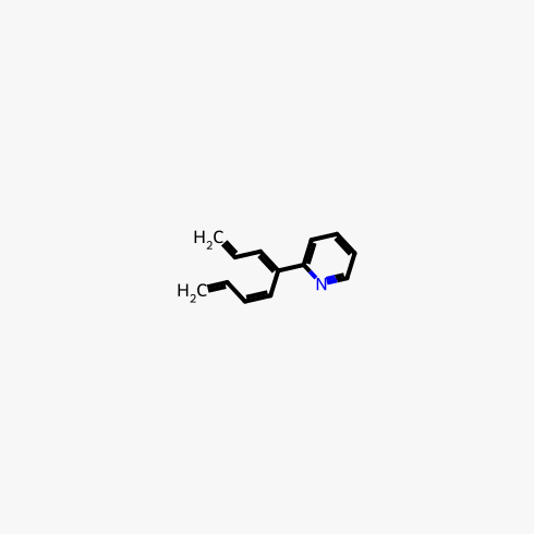 C=C/C=C\C(=C/C=C)c1ccccn1